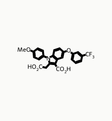 COc1ccc(-n2c(CC(=O)O)c(C(=O)O)c3cc(Oc4cccc(C(F)(F)F)c4)ccc32)cc1